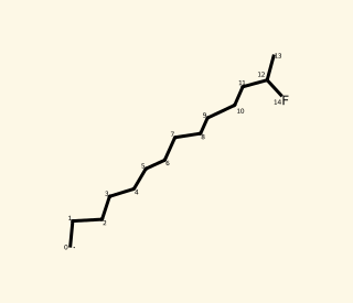 [CH2]CCCCCCCCCCCC(C)F